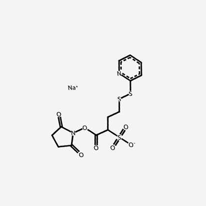 O=C(ON1C(=O)CCC1=O)C(CCSSc1ccccn1)S(=O)(=O)[O-].[Na+]